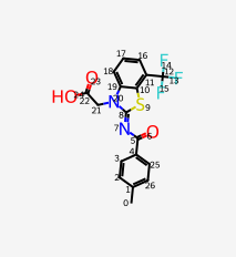 Cc1ccc(C(=O)/N=c2\sc3c(C(F)(F)F)cccc3n2CC(=O)O)cc1